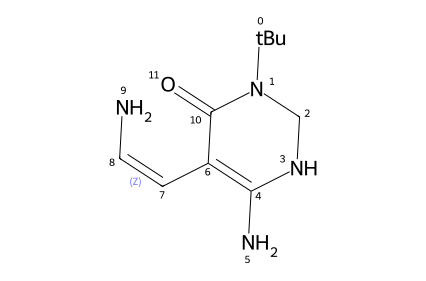 CC(C)(C)N1CNC(N)=C(/C=C\N)C1=O